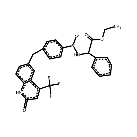 CCOC(=O)C(N[S+]([O-])c1ccc(Cc2ccc3[nH]c(=O)cc(C(F)(F)F)c3c2)cc1)c1ccccc1